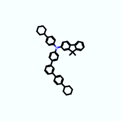 CC1(C)c2ccccc2-c2ccc(N(c3ccc(-c4cccc(-c5ccc(C6CCCCC6)cc5)c4)cc3)c3ccc(C4CCCCC4)cc3)cc21